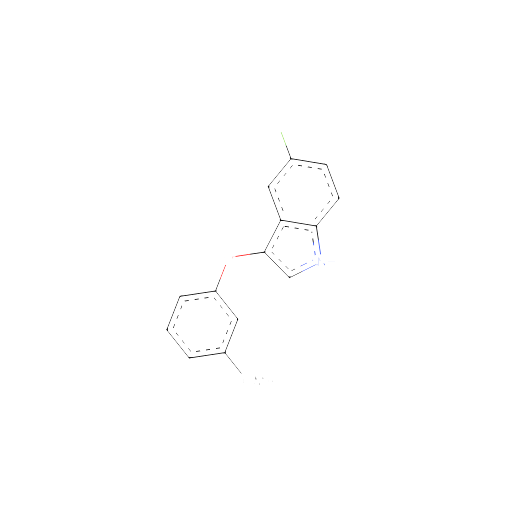 COc1cccc(Oc2c[nH]c3ccc(F)cc23)c1